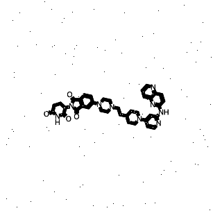 O=C1CCC(N2C(=O)c3ccc(N4CCN(CCC5CCN(c6ccnc(Nc7ccc8ncccc8n7)c6)CC5)CC4)cc3C2=O)C(=O)N1